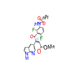 CCCS(=O)(=O)Nc1ccc(F)c(C(=O)/C(=C/C(=O)OC)c2cnc3[nH]ccc3c2)c1F